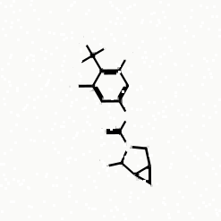 CC(C)(C)c1c(F)cc(OC(=O)N2CC3CC3C2O)cc1F